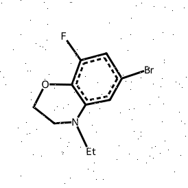 CCN1CCOc2c(F)cc(Br)cc21